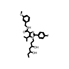 [CH2]CC(O)CC(O)CCn1c(-c2ccc(F)cc2)nc(C(=O)NCc2cccc(OC)c2)c1C(C)C